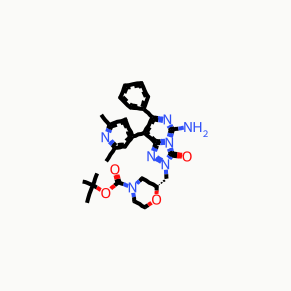 Cc1cc(-c2c(-c3ccccc3)nc(N)n3c(=O)n(C[C@H]4CN(C(=O)OC(C)(C)C)CCO4)nc23)cc(C)n1